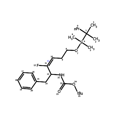 CCCC(C)(C)[Si](C)(C)OCC/C=C(/F)C(Cc1ccccc1)NC(=O)OC(C)(C)C